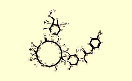 CCCNC[C@]1(O)[C@H](C)O[C@@H](O[C@H]2[C@H](C)[C@@H](O[C@@H]3O[C@H](C)C[C@H](N(C)C(=O)Nc4ccc(C#N)cc4)[C@H]3O)[C@](C)(O)C[C@@H](C)CN[C@H](C)[C@@H](O)[C@](C)(O)[C@@H](CC)OC(=O)[C@@H]2C)C[C@@]1(C)OC